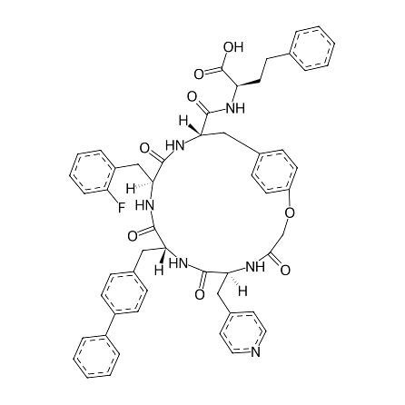 O=C1COc2ccc(cc2)C[C@@H](C(=O)N[C@H](CCc2ccccc2)C(=O)O)NC(=O)[C@H](Cc2ccccc2F)NC(=O)[C@@H](Cc2ccc(-c3ccccc3)cc2)NC(=O)[C@H](Cc2ccncc2)N1